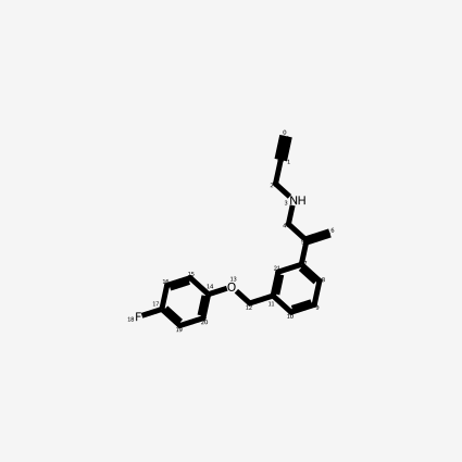 C#CCNCC(=C)c1cccc(COc2ccc(F)cc2)c1